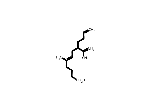 C=CCCC(CC=C(C)CCCC(=O)O)C(=C)C